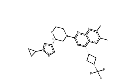 Cc1cc2c(nc(N3CCO[C@@H](c4cnn(C5CC5)c4)C3)nc2[C@H]2C[C@@H](C(F)(F)F)C2)nc1C